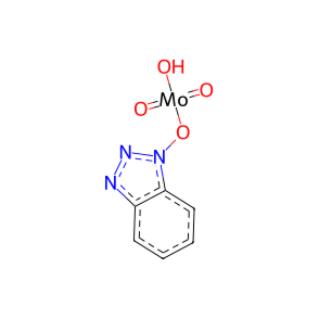 [O]=[Mo](=[O])([OH])[O]n1nnc2ccccc21